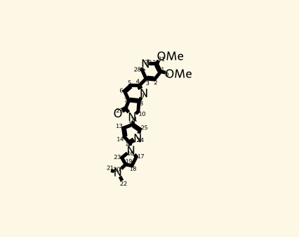 COc1cc(-c2ccc3c(n2)CN(c2ccc(N4CCC(N(C)C)C4)nc2)C3=O)cnc1OC